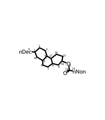 CCCCCCCCCCC1CCC2C(CCC3CC(OC(=O)CCCCCCCCC)CCC32)C1